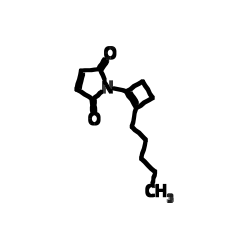 CCCCCC1=C(N2C(=O)C=CC2=O)CC1